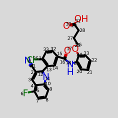 N#Cc1cc2c(F)cccc2nc1-c1cc(C(=O)Nc2ccccc2OCCCC(=O)O)ccc1Cl